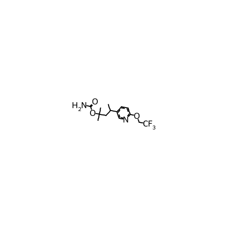 CC(CC(C)(C)OC(N)=O)c1ccc(OCC(F)(F)F)nc1